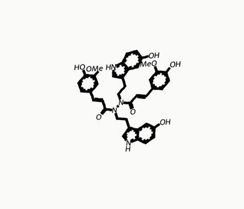 COc1cc(/C=C/C(=O)N(CCc2c[nH]c3ccc(O)cc23)N(CCc2c[nH]c3ccc(O)cc23)C(=O)/C=C/c2ccc(O)c(OC)c2)ccc1O